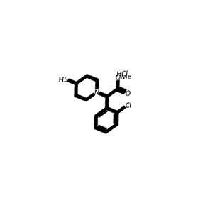 COC(=O)C(c1ccccc1Cl)N1CCC(S)CC1.Cl